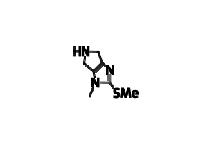 CSc1nc2c(n1C)CNC2